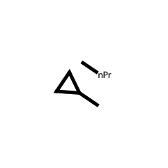 CC1CC1.CCCC